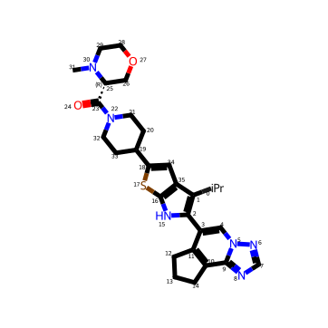 CC(C)c1c(-c2cn3ncnc3c3c2CCC3)[nH]c2sc(C3CCN(C(=O)[C@H]4COCCN4C)CC3)cc12